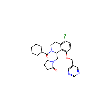 O=C1CCCN1C[C@@H]1c2c(OCc3cncnc3)ccc(Cl)c2CCN1C(=O)C1CCCCC1